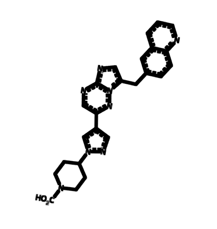 O=C(O)N1CCC(n2cc(-c3cnc4ncc(Cc5ccc6ncccc6c5)n4n3)cn2)CC1